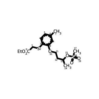 CCOC(=O)CSc1ccc(C)cc1OCCC(C)OS(C)(=O)=O